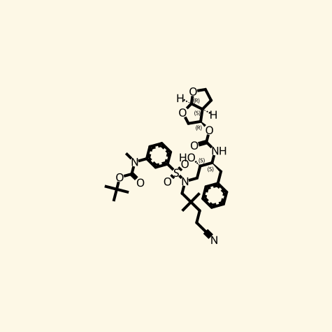 CN(C(=O)OC(C)(C)C)c1cccc(S(=O)(=O)N(C[C@H](O)[C@H](Cc2ccccc2)NC(=O)O[C@H]2CO[C@H]3OCC[C@H]32)CC(C)(C)CCC#N)c1